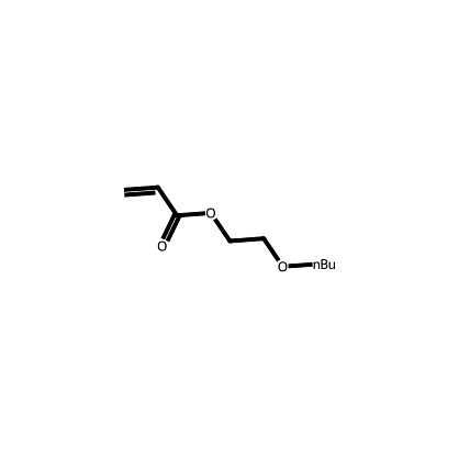 C=CC(=O)OCCOCCCC